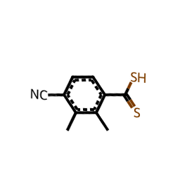 Cc1c(C#N)ccc(C(=S)S)c1C